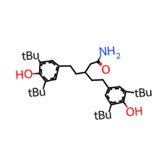 CC(C)(C)c1cc(CCC(CCc2cc(C(C)(C)C)c(O)c(C(C)(C)C)c2)CC(N)=O)cc(C(C)(C)C)c1O